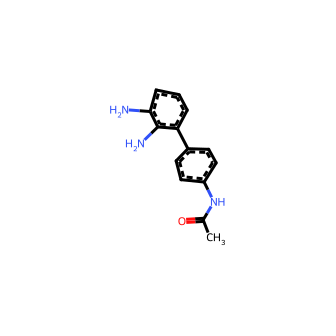 CC(=O)Nc1ccc(-c2cccc(N)c2N)cc1